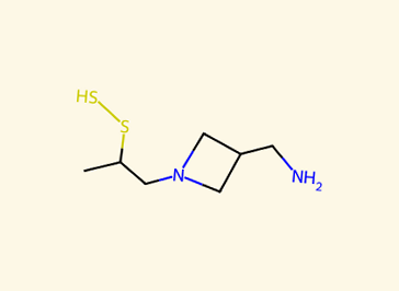 CC(CN1CC(CN)C1)SS